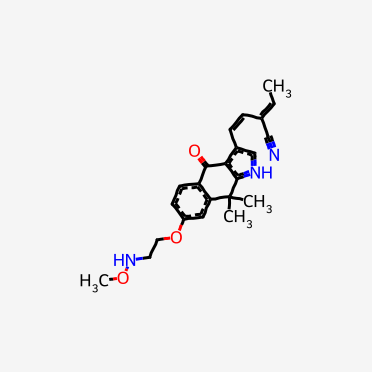 C/C=C(C#N)\C=C/c1c[nH]c2c1C(=O)c1ccc(OCCNOC)cc1C2(C)C